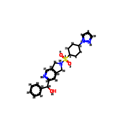 O=S(=O)(C1CCC(n2cccn2)CC1)N1Cc2cnc(C(O)c3ccccc3)cc2C1